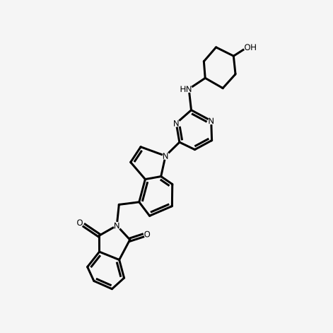 O=C1c2ccccc2C(=O)N1Cc1cccc2c1ccn2-c1ccnc(NC2CCC(O)CC2)n1